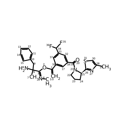 C=C(O/C(=N\C)C(C)(N)Cc1ccccc1)c1cc(C(=O)N2CCC[C@@H]2c2nc(C)cs2)cc(C(F)F)c1